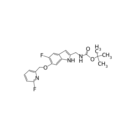 CC(C)(C)OC(=O)NCc1cc2cc(F)c(OCc3cccc(F)n3)cc2[nH]1